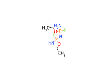 CCOP(=N)(F)N=P(N)(F)OCC